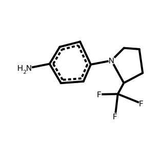 Nc1ccc(N2CCCC2C(F)(F)F)cc1